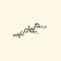 CC(C)(C)OC(=O)N1CCC(c2ccc(Nc3ncc(C(F)(F)F)c(/C=C/c4cc(C(=O)O)ccn4)n3)cc2)CC1